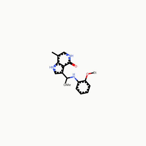 CCOc1ccccc1NC(OC)c1c[nH]c2c(C)c[nH]c(=O)c12